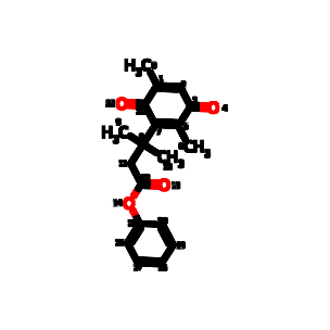 CC1=CC(=O)C(C)=C(C(C)(C)CC(=O)Oc2cc[c]cc2)C1=O